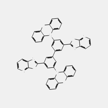 c1ccc2c(c1)Sc1ccccc1N2c1cc(-c2cc(-c3nc4cccnc4o3)cc(N3c4ccccc4Sc4ccccc43)c2)cc(-c2nc3cccnc3o2)c1